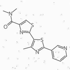 Cc1nc(-c2cccnc2)sc1-c1nc(C(=O)N(C)C)cs1